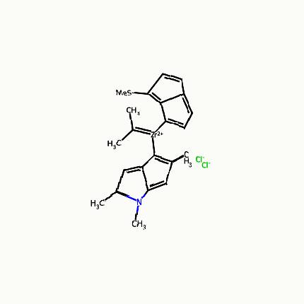 CSC1=C2C(=CC=[C]2[Zr+2]([C]2=C(C)C=C3C2=CC(C)N3C)=[C](C)C)C=C1.[Cl-].[Cl-]